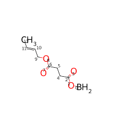 BOC(=O)CCC(=O)OCC=CC